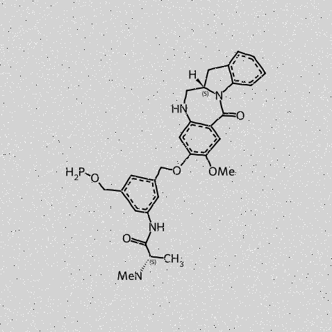 CN[C@@H](C)C(=O)Nc1cc(COP)cc(COc2cc3c(cc2OC)C(=O)N2c4ccccc4C[C@H]2CN3)c1